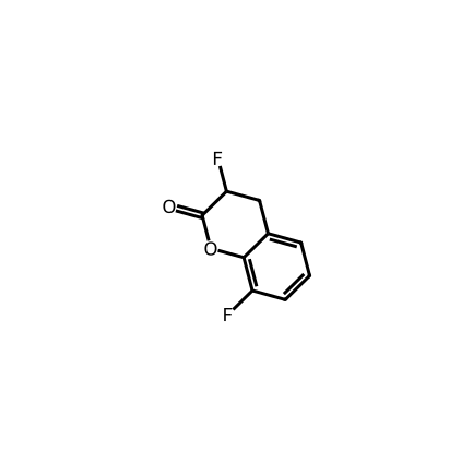 O=C1Oc2c(F)cccc2CC1F